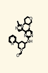 Cc1ncc(-c2nc(NC3CC(c4ccccn4)CN(C=O)C3)ncc2F)n1C1CCOCC1